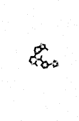 Cc1coc2ccc(C3=CC=NC(C)N3C(C)c3cccc(-n4cnnc4)c3)cc12